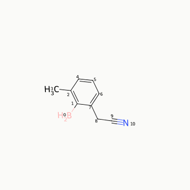 Bc1c(C)cccc1CC#N